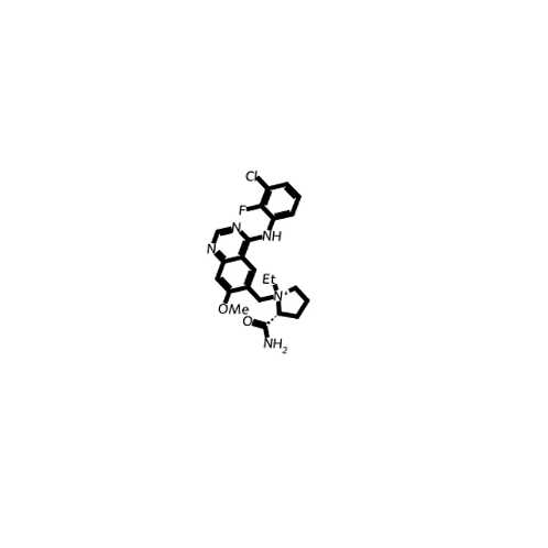 CC[N+]1(Cc2cc3c(Nc4cccc(Cl)c4F)ncnc3cc2OC)CCC[C@@H]1C(N)=O